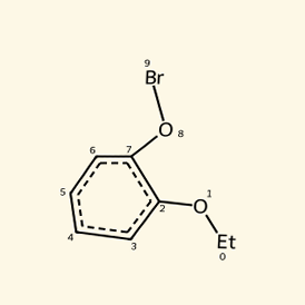 CCOc1ccccc1OBr